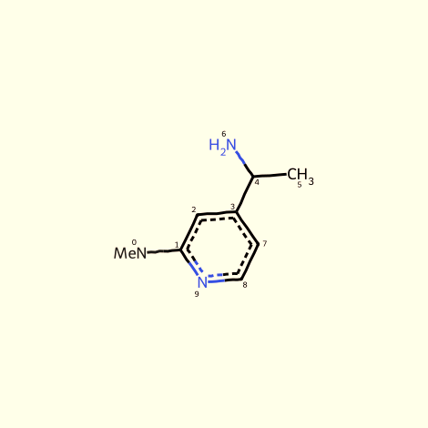 CNc1cc(C(C)N)ccn1